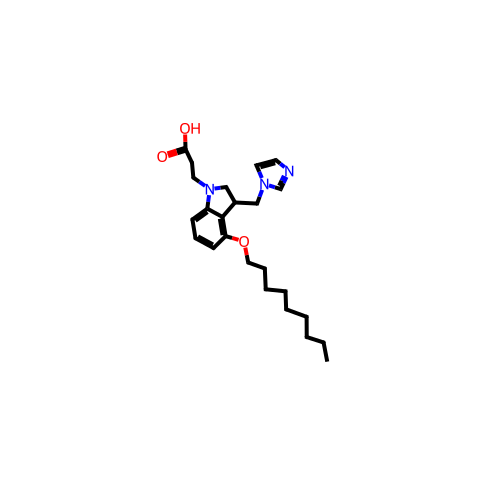 CCCCCCCCCOc1cccc2c1C(Cn1ccnc1)CN2CCC(=O)O